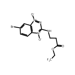 O=C(CCNc1n[n+]([O-])c2cc(Br)ccc2[n+]1[O-])OCC(F)(F)F